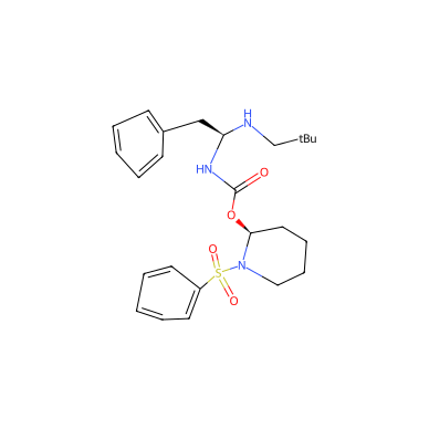 CC(C)(C)CN[C@H](Cc1ccccc1)NC(=O)O[C@H]1CCCCN1S(=O)(=O)c1ccccc1